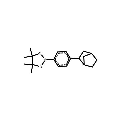 CC1(C)OB(c2ccc(C3CC4CCC3C4)cc2)OC1(C)C